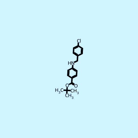 CC(C)(C)OC(=O)c1ccc(NCc2ccc(Cl)cc2)cc1